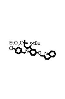 CCOC(=O)C(C)(C)Cc1c(SC(C)(C)C)c2cc(OCc3ccc4ccccc4n3)ccc2n1Cc1ccc(Cl)cc1